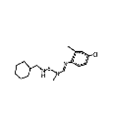 Cc1cc(Cl)ccc1N=CN(C)SNCC1CCCCC1